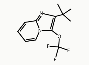 CC(C)(C)c1nc2ccccn2c1OC(F)(F)F